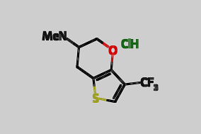 CNC1COc2c(C(F)(F)F)csc2C1.Cl